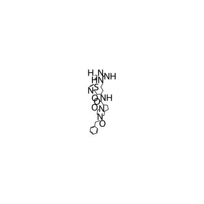 N=C(N)NCCCC(NC(=O)C1CCC2CN(C(=O)Cc3ccccc3)CC(=O)N21)C(=O)c1nccs1